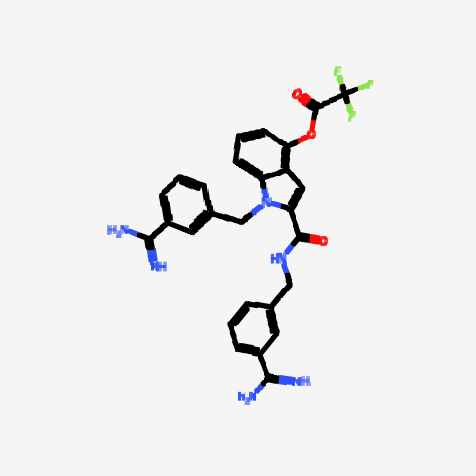 N=C(N)c1cccc(CNC(=O)c2cc3c(OC(=O)C(F)(F)F)cccc3n2Cc2cccc(C(=N)N)c2)c1